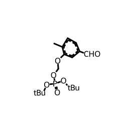 Cc1ccc(C=O)cc1OCOP(=O)(OC(C)(C)C)OC(C)(C)C